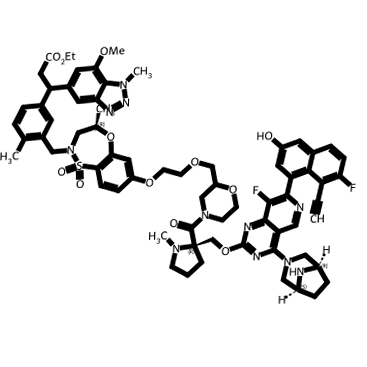 C#Cc1c(F)ccc2cc(O)cc(-c3ncc4c(N5C[C@H]6CC[C@@H](C5)N6)nc(OC[C@@]5(C(=O)N6CCOC(COCCOc7ccc8c(c7)O[C@H](C)CN(Cc7cc(C(CC(=O)OCC)c9cc(OC)c%10c(c9)nnn%10C)ccc7C)S8(=O)=O)C6)CCCN5C)nc4c3F)c12